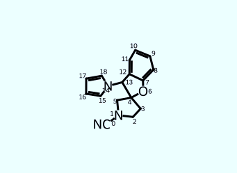 N#CN1CCC2(C1)Oc1ccccc1C2n1cccc1